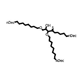 CCCCCCCCCCCCCCCCCCOCC(O)C(OCCCCCCCCCCCCCCCCCC)C(=S)CCCCCCCCCCCCCCC